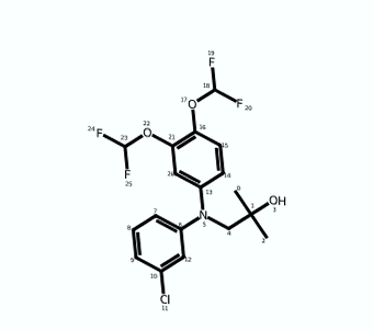 CC(C)(O)CN(c1cccc(Cl)c1)c1ccc(OC(F)F)c(OC(F)F)c1